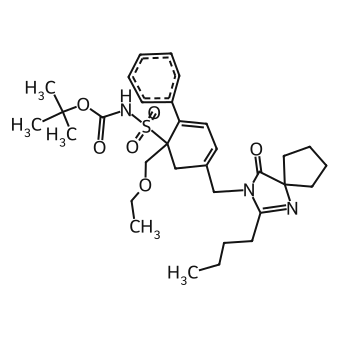 CCCCC1=NC2(CCCC2)C(=O)N1CC1=CC=C(c2ccccc2)C(COCC)(S(=O)(=O)NC(=O)OC(C)(C)C)C1